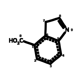 O=C(O)c1cccc2c1CC=N2